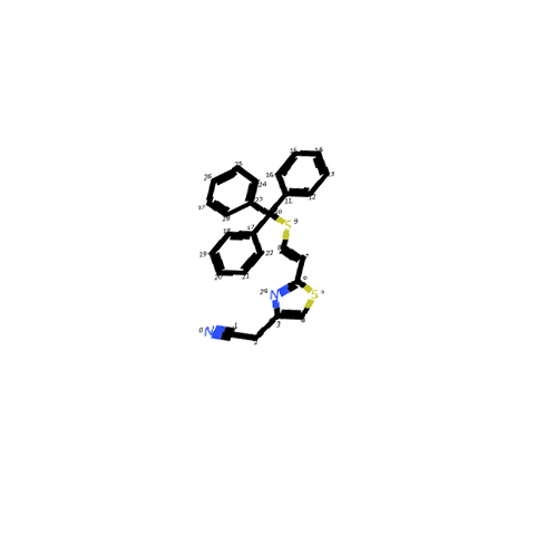 N#CCc1csc(C=CSC(c2ccccc2)(c2ccccc2)c2ccccc2)n1